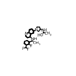 CC(O)N[C@@H]1CCN(c2ccc3nccc(N[C@H](C)c4cccc(C(F)F)c4F)c3c2)C1